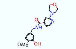 COc1ccc(CNC(=O)c2ccnc(N3CCOCC3)c2)cc1O